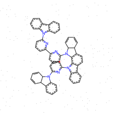 C1=CC2c3ccccc3N(c3cccc(-n4c5ccccc5c5ccc6c(c54)N(c4cccc(-c5cccc(-n7c8ccccc8c8ccccc87)n5)n4)C4C=CC=CC64)n3)C2C=C1